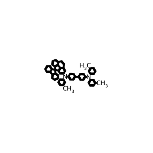 Cc1cccc(N(c2ccc(-c3ccc(N(c4cccc(C)c4)c4cc5c6c(ccc7cccc(c76)C56c5ccccc5-c5ccccc56)c4)cc3)cc2)c2cccc(C)c2)c1